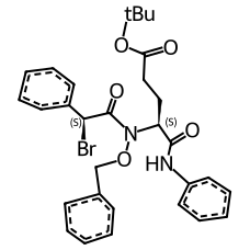 CC(C)(C)OC(=O)CC[C@@H](C(=O)Nc1ccccc1)N(OCc1ccccc1)C(=O)[C@@H](Br)c1ccccc1